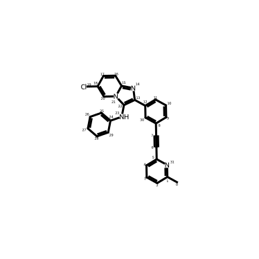 Cc1cccc(C#Cc2cccc(-c3nc4ccc(Cl)cn4c3Nc3ccccc3)c2)n1